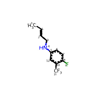 C/C=C/CNc1ccc(F)c(C(F)(F)F)c1